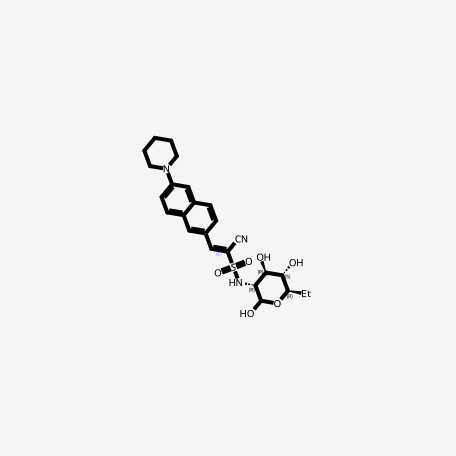 CC[C@H]1OC(O)[C@H](NS(=O)(=O)/C(C#N)=C/c2ccc3cc(N4CCCCC4)ccc3c2)[C@@H](O)[C@@H]1O